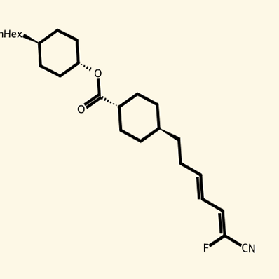 CCCCCC[C@H]1CC[C@H](OC(=O)[C@H]2CC[C@H](CCC=CC=C(F)C#N)CC2)CC1